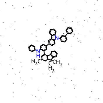 CC1C=C(c2cc(-c3ccc4c(c3)c3ccccc3n4-c3cccc(-c4ccccc4)c3)ccc2Nc2ccccc2)C2=C(C1)C(C)(C)c1ccccc12